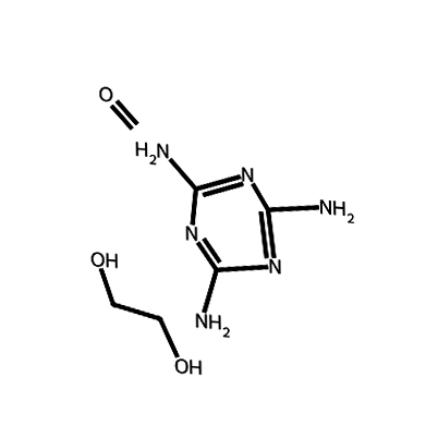 C=O.Nc1nc(N)nc(N)n1.OCCO